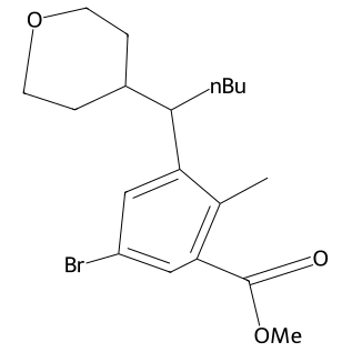 CCCCC(c1cc(Br)cc(C(=O)OC)c1C)C1CCOCC1